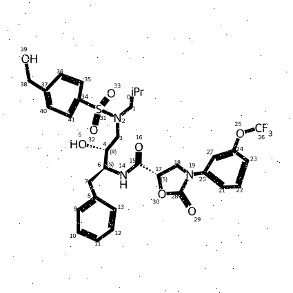 CC(C)CN(C[C@@H](O)[C@H](Cc1ccccc1)NC(=O)[C@@H]1CN(c2cccc(OC(F)(F)F)c2)C(=O)O1)S(=O)(=O)c1ccc(CO)cc1